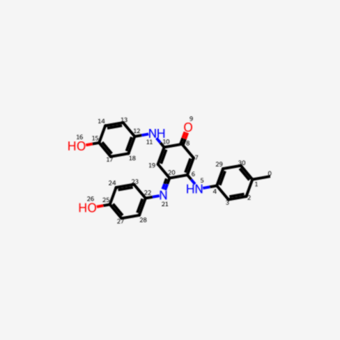 Cc1ccc(NC2=CC(=O)C(Nc3ccc(O)cc3)=C/C2=N\c2ccc(O)cc2)cc1